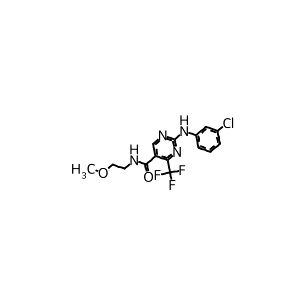 COCCNC(=O)c1cnc(Nc2cccc(Cl)c2)nc1C(F)(F)F